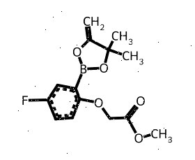 C=C1OB(c2cc(F)ccc2OCC(=O)OC)OC1(C)C